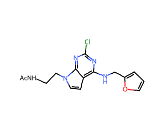 CC(=O)NCCn1ccc2c(NCc3ccco3)nc(Cl)nc21